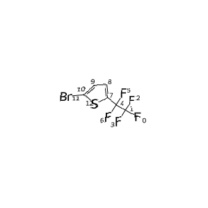 FC(F)(F)C(F)(F)c1ccc(Br)s1